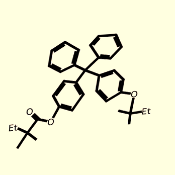 CCC(C)(C)Oc1ccc(C(c2ccccc2)(c2ccccc2)c2ccc(OC(=O)C(C)(C)CC)cc2)cc1